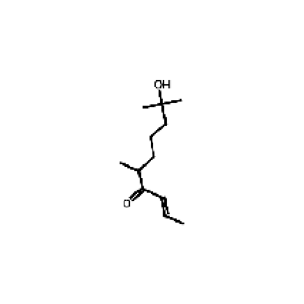 CC=CC(=O)C(C)CCCC(C)(C)O